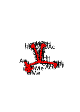 COc1ccc(C(OC[C@@H]2C[C@@H](OC(=O)CCC(C)=O)CN2C(=O)CCCCCCCCCCC(=O)NC(COCCC(=O)NCCCNC(=O)CCCCOC2CC(COC(C)=O)C(O)C(O)C2N)(COCCC(=O)NCCCNC(=O)CCCCOC2CC(COC(C)=O)C(O)C(O)C2N)COCCC(=O)NCCCNC(=O)CCCCOC2CC(COC(C)=O)C(O)C(O)C2N)(c2ccccc2)c2ccc(OC)cc2)cc1